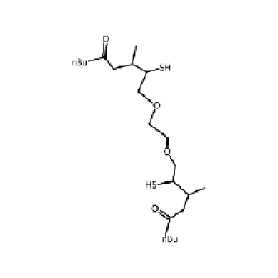 CCCCC(=O)CC(C)C(S)COCCOCC(S)C(C)CC(=O)CCCC